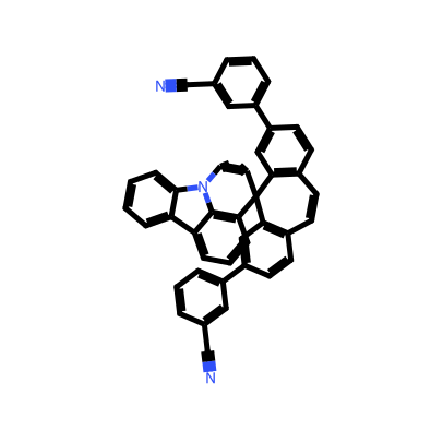 N#Cc1cccc(-c2ccc3c(c2)C2(c4cc(-c5cccc(C#N)c5)ccc4C=C3)c3ccccc3-n3c4ccccc4c4cccc2c43)c1